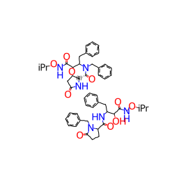 CC(C)ONC(=O)C(=O)C(Cc1ccccc1)N(Cc1ccccc1)C(=O)[C@H]1CCC(=O)N1.CC(C)ONC(=O)C(O)C(Cc1ccccc1)NC(=O)C1CCC(=O)N1Cc1ccccc1